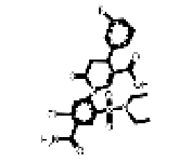 CCN(CC)S(=O)(=O)c1cc(C(N)=O)c(Cl)cc1N1C=C(C(=O)O)C(c2cccc(F)c2)CC1=O